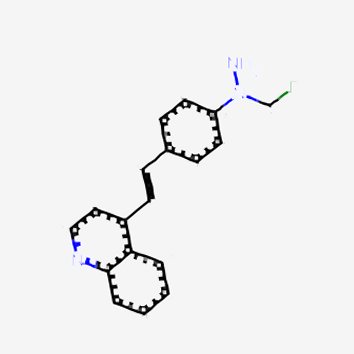 NN(CF)c1ccc(/C=C/c2ccnc3ccccc23)cc1